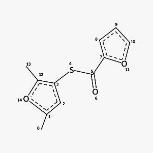 Cc1cc(SC(=O)c2ccco2)c(C)o1